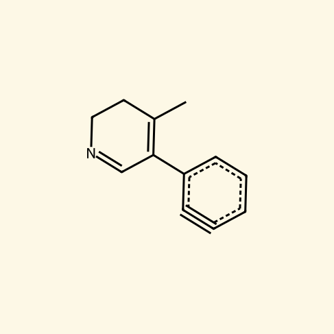 CC1=C(c2c#cccc2)C=NCC1